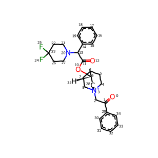 O=C(C[N+]12CCC(CC1)[C@@H](OC(=O)C(c1ccccc1)N1CCC(F)(F)CC1)C2)c1ccccc1